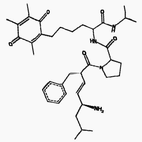 CC1=C(C)C(=O)C(CCCCC(NC(=O)C2CCCN2C(=O)[C@H](/C=C/[C@@H](N)CC(C)C)Cc2ccccc2)C(=O)NC(C)C)=C(C)C1=O